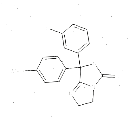 COc1ccc(C2(c3cccc(Br)c3)NC(=S)N3CCN=C32)cc1